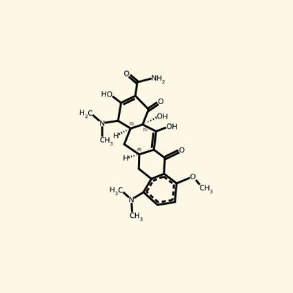 COc1ccc(N(C)C)c2c1C(=O)C1=C(O)[C@]3(O)C(=O)C(C(N)=O)=C(O)C(N(C)C)[C@@H]3C[C@@H]1C2